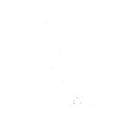 CCOC[C@H](NC(=O)[C@@H]1C[C@@H](O)CN1C(=O)[C@@H](c1cc(OCCN2CCN(CCOc3cc(N4C5CCC4CN(c4cc(-c6ccccc6O)nnc4N)C5)ccn3)CC2)no1)C(C)C)c1ccc(-c2scnc2C)cc1